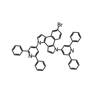 Brc1ccc2c(c1)c1ccn(-c3cc(-c4ccccc4)nc(-c4ccccc4)c3)c1c1ccn(-c3cc(-c4ccccc4)nc(-c4ccccc4)c3)c21